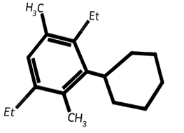 CCc1cc(C)c(CC)c(C2CCCCC2)c1C